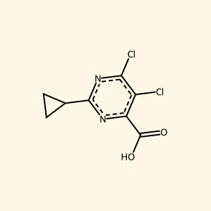 O=C(O)c1nc(C2CC2)nc(Cl)c1Cl